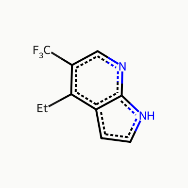 CCc1c(C(F)(F)F)cnc2[nH]ccc12